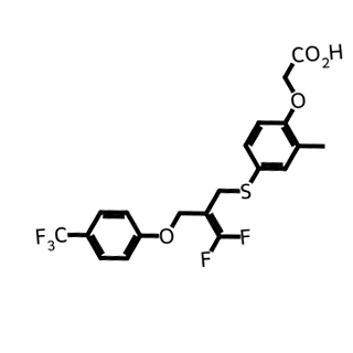 Cc1cc(SCC(COc2ccc(C(F)(F)F)cc2)=C(F)F)ccc1OCC(=O)O